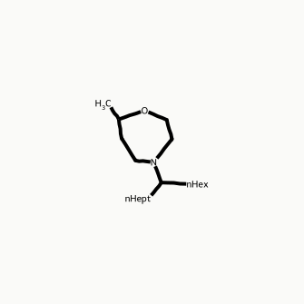 CCCCCCCC(CCCCCC)N1CCOC(C)CC1